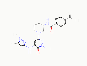 C=C(C)c1ccc(C(=O)NC2CCCN(c3cc(Nc4cc(C)n(C)n4)c(=O)n(C)n3)C2)cc1